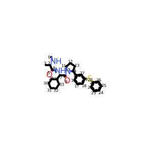 CNC(C)C(=O)N[C@H](C(=O)N1CCCC1c1cccc(Sc2ccccc2)c1)C1CCCCC1